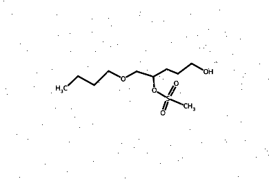 CCCCOCC(CCCO)OS(C)(=O)=O